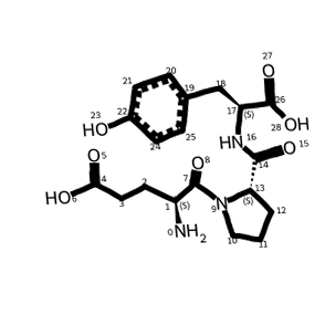 N[C@@H](CCC(=O)O)C(=O)N1CCC[C@H]1C(=O)N[C@@H](Cc1ccc(O)cc1)C(=O)O